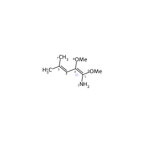 CO/C(N)=C(/C=C(C)C)OC